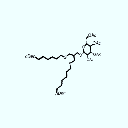 CCCCCCCCCCCCCCCCSCC(CO[C@@H]1O[C@H](COC(C)=O)[C@@H](OC(C)=O)[C@H](OC(C)=O)[C@H]1OC(C)=O)CSCCCCCCCCCCCCCCCC